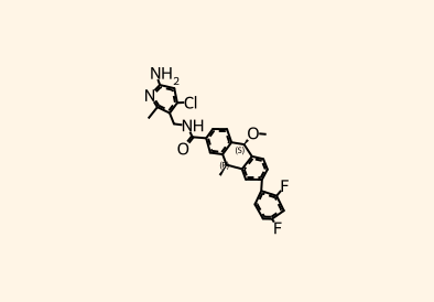 CO[C@@H]1c2ccc(C(=O)NCc3c(Cl)cc(N)nc3C)cc2[C@H](C)c2cc(-c3ccc(F)cc3F)ccc21